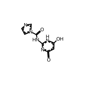 O=C(Nc1nc(=O)cc(O)[nH]1)n1ccnc1